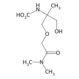 CN(C)C(=O)COCC(C)(CO)NC(=O)O